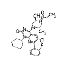 C=CC(=O)N1C[C@H](C)N(c2nc(=O)n(C3CCCCC3)c3nc(-c4ccccc4F)c(Cl)cc23)C[C@H]1C